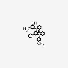 Cc1ccc(N2c3ccccc3B3c4ccccc4N(c4cc(C)cc(C)c4)c4cc(C5CCCCC5)cc2c43)cc1